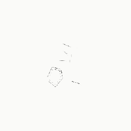 CO.CO.CO.CO.c1ccoc1